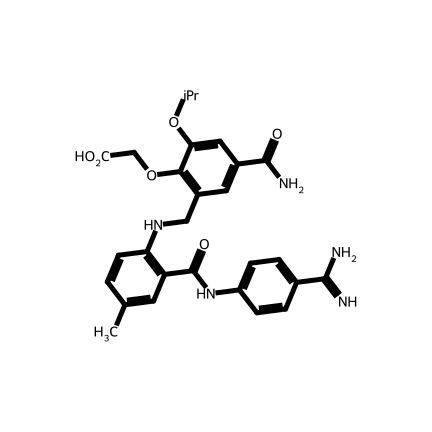 Cc1ccc(NCc2cc(C(N)=O)cc(OC(C)C)c2OCC(=O)O)c(C(=O)Nc2ccc(C(=N)N)cc2)c1